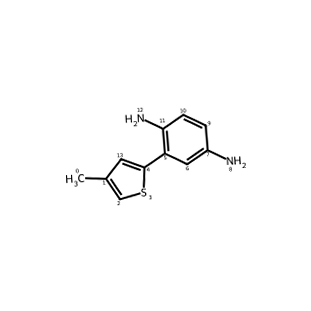 Cc1csc(-c2cc(N)ccc2N)c1